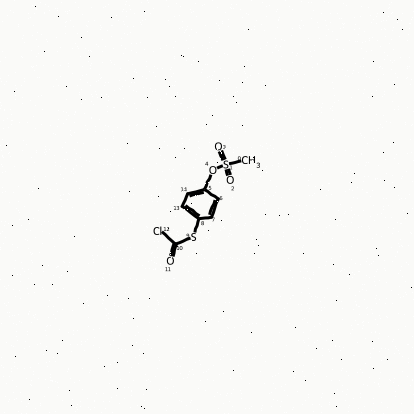 CS(=O)(=O)Oc1ccc(SC(=O)Cl)cc1